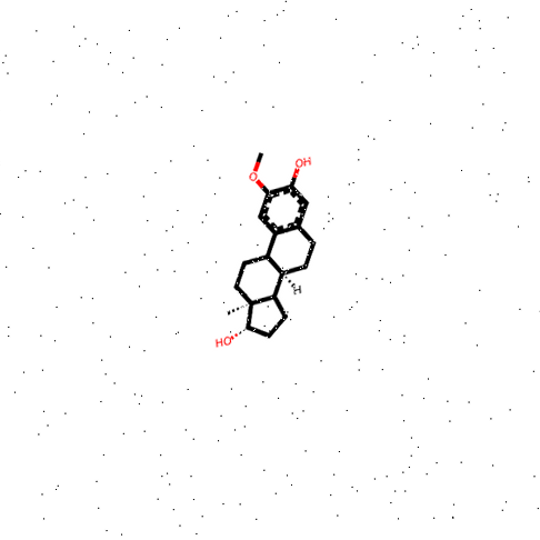 COc1cc2c(cc1O)CC[C@@H]1C2CC[C@@]2(C)C1CC[C@@H]2O